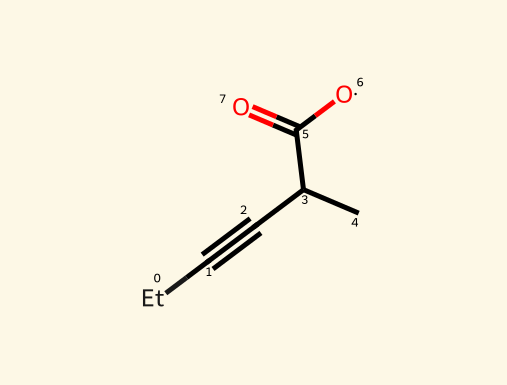 CCC#CC(C)C([O])=O